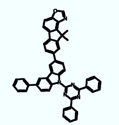 CC1(C)c2cc(-c3ccc4c(c3)c3cc(-c5ccccc5)ccc3n4-c3nc(-c4ccccc4)nc(-c4ccccc4)n3)ccc2-c2ccc3ocnc3c21